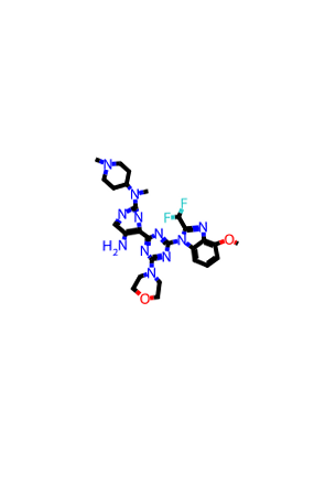 COc1cccc2c1nc(C(F)F)n2-c1nc(-c2nc(N(C)C3CCN(C)CC3)ncc2N)nc(N2CCOCC2)n1